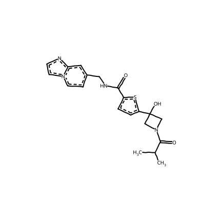 CC(C)C(=O)N1CC(O)(c2ccc(C(=O)NCc3ccn4ccnc4c3)s2)C1